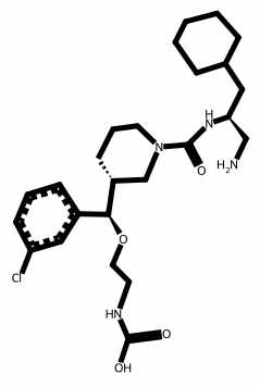 NC[C@H](CC1CCCCC1)NC(=O)N1CCC[C@@H]([C@@H](OCCNC(=O)O)c2cccc(Cl)c2)C1